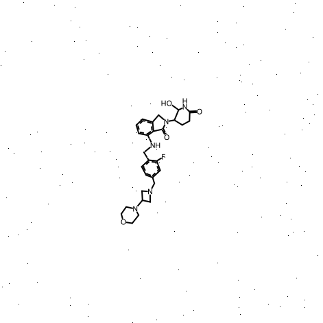 O=C1CCC(N2Cc3cccc(NCc4ccc(CN5CC(N6CCOCC6)C5)cc4F)c3C2=O)C(O)N1